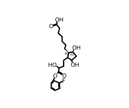 O=C(O)CCCCCC[C@@H]1C(CCC(O)C(=O)Oc2ccccc2F)C(O)C[C@@H]1O